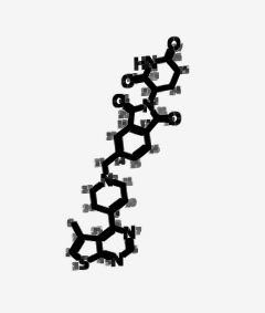 Cc1csc2ncnc(C3=CCN(Cc4ccc5c(c4)C(=O)N(C4CCC(=O)NC4=O)C5=O)CC3)c12